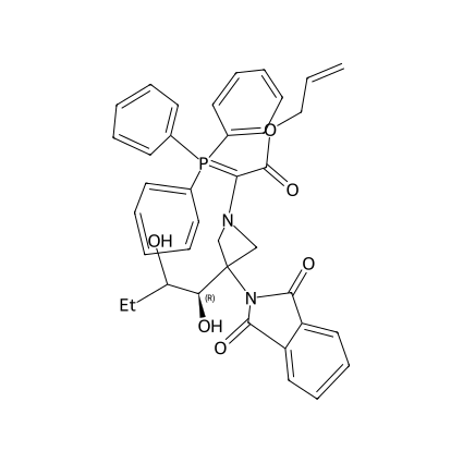 C=CCOC(=O)C(N1CC([C@@H](O)C(O)CC)(N2C(=O)c3ccccc3C2=O)C1)=P(c1ccccc1)(c1ccccc1)c1ccccc1